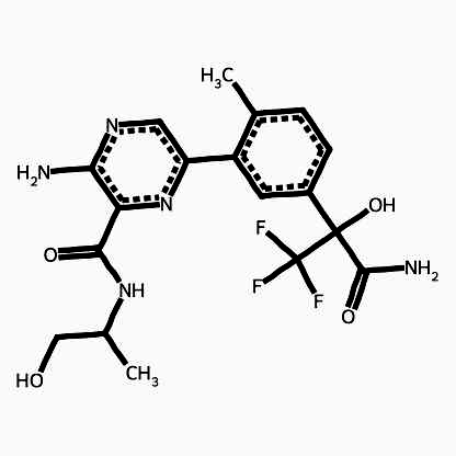 Cc1ccc(C(O)(C(N)=O)C(F)(F)F)cc1-c1cnc(N)c(C(=O)NC(C)CO)n1